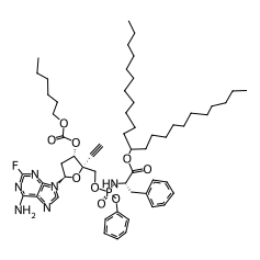 C#C[C@]1(CO[P@@](=O)(N[C@@H](Cc2ccccc2)C(=O)OC(CCCCCCCCCCC)CCCCCCCCCCC)Oc2ccccc2)O[C@@H](n2cnc3c(N)nc(F)nc32)C[C@@H]1OC(=O)OCCCCCC